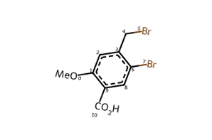 COc1cc(CBr)c(Br)cc1C(=O)O